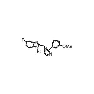 CCn1c(Cn2ccnc2-c2cccc(OC)c2)nc2cc(F)ccc21